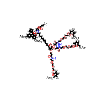 COc1ccc(C(OC[C@@H]2C[C@@H](OC(=O)CCC(C)=O)CN2C(=O)CCCCCCCCCCC(=O)CC(COCCC(=O)NCCOCCOCCOC2OC(COC(C)=O)C(C)C(C)C2C)(COCCC(=O)NCCOCCOCCOC2OC(COC(C)=O)C(C)C(C)C2C)COCCC(=O)NCCOCCOCCOC2OC(COC(C)=O)C(C)C(C)C2C)(c2ccccc2)c2ccc(OC)cc2)cc1